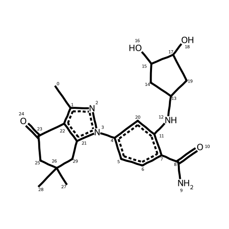 Cc1nn(-c2ccc(C(N)=O)c(NC3CC(O)C(O)C3)c2)c2c1C(=O)CC(C)(C)C2